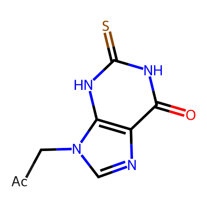 CC(=O)Cn1cnc2c(=O)[nH]c(=S)[nH]c21